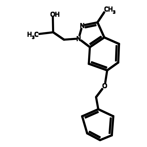 Cc1nn(CC(C)O)c2cc(OCc3ccccc3)ccc12